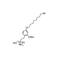 CC[C@@](N)(CO)CCc1ccc(OCCCCCCCCC(C)C)cc1OC